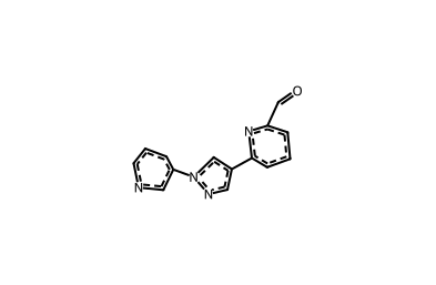 O=Cc1cccc(-c2cnn(-c3cccnc3)c2)n1